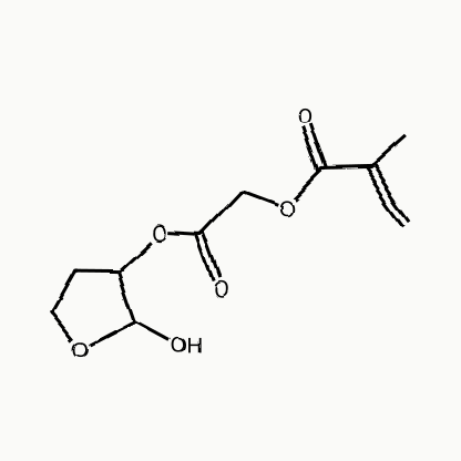 C=C(C)C(=O)OCC(=O)OC1CCOC1O